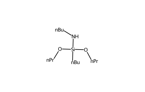 CCCCN[Si](CCCC)(OCCC)OCCC